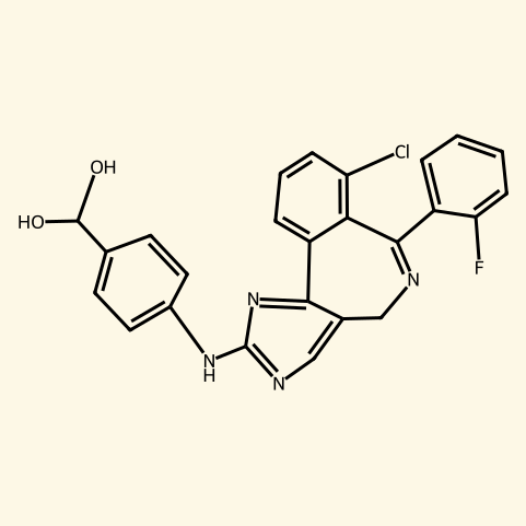 OC(O)c1ccc(Nc2ncc3c(n2)-c2cccc(Cl)c2C(c2ccccc2F)=NC3)cc1